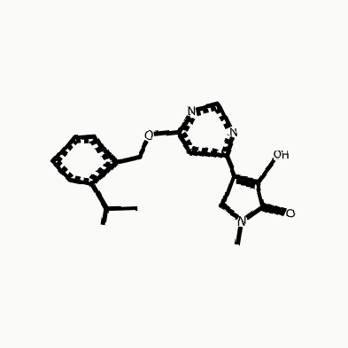 CC(C)c1ccccc1COc1cc(C2=C(O)C(=O)N(C)C2)ncn1